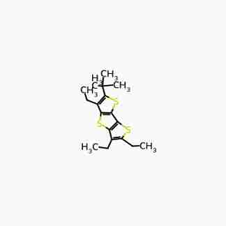 CCc1sc2c(sc3c(CC)c(C(C)(C)C)sc32)c1CC